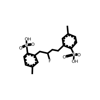 Cc1ccc(S(=O)(=O)O)c(CCC(F)Cc2cc(C)ccc2S(=O)(=O)O)c1